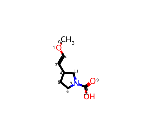 COC=CC1CCN(C(=O)O)C1